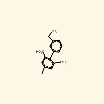 Cc1cc(C(=O)O)c(-c2cccc(CN)c2)c(C(=O)O)c1